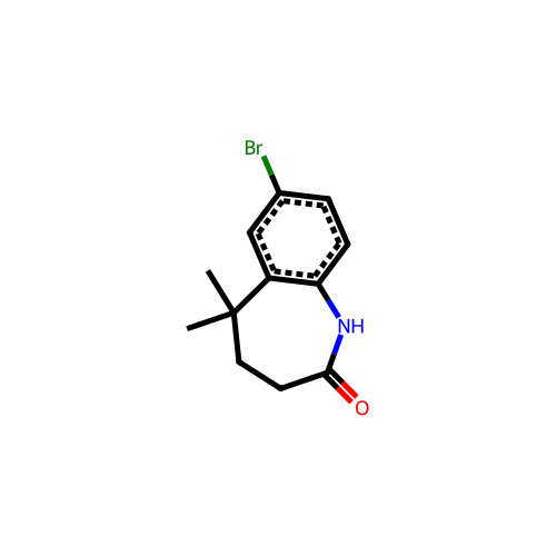 CC1(C)CCC(=O)Nc2ccc(Br)cc21